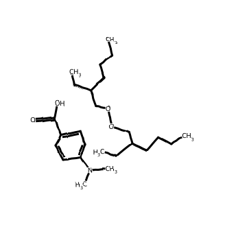 CCCCC(CC)COOCC(CC)CCCC.CN(C)c1ccc(C(=O)O)cc1